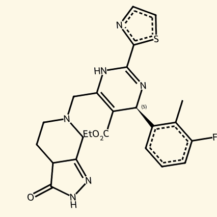 CCOC(=O)C1=C(CN2CCC3C(=O)NN=C3C2)NC(c2nccs2)=N[C@H]1c1cccc(F)c1C